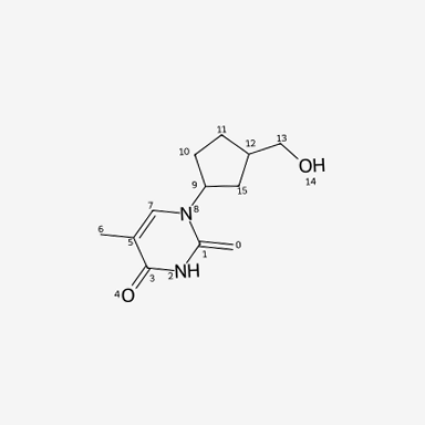 C=C1NC(=O)C(C)=CN1C1CCC(CO)C1